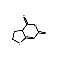 O=C1NC(=S)C=C2SCCC12